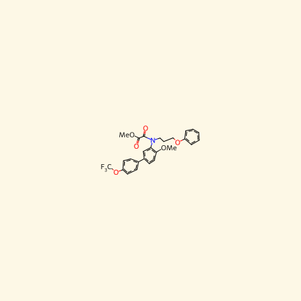 COC(=O)C(=O)N(CCCOc1ccccc1)c1cc(-c2ccc(OC(F)(F)F)cc2)ccc1OC